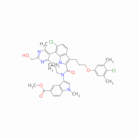 COC(=O)c1ccc2c(c1)c(N1C[C@@H](C)n3c(c(CCCOc4cc(C)c(Cl)c(C)c4)c4ccc(Cl)c(-c5c(C)nc(CO)nc5C)c43)C1=O)cn2C